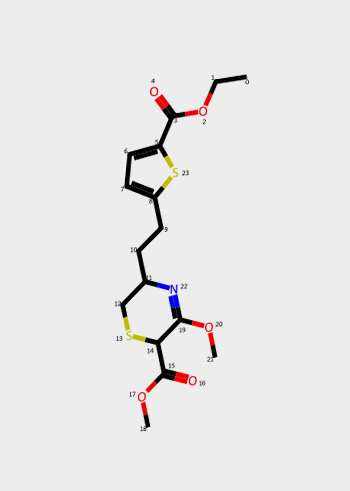 CCOC(=O)c1ccc(CCC2CSC(C(=O)OC)C(OC)=N2)s1